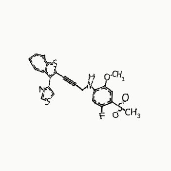 COc1cc(S(C)(=O)=O)c(F)cc1NCC#Cc1sc2ccccc2c1-c1cscn1